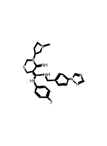 CN1CCC(N2CSC/C(=C(/NCc3ccc(-n4cncn4)cc3)Nc3ccc(F)cc3)C2=N)C1